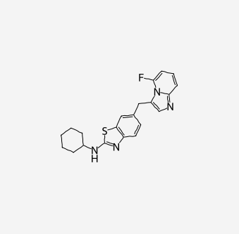 Fc1cccc2ncc(Cc3ccc4nc(NC5CCCCC5)sc4c3)n12